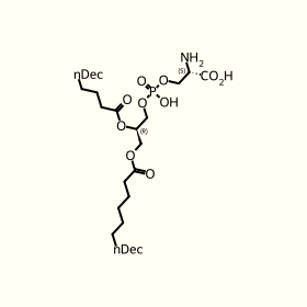 CCCCCCCCCCCCCCCC(=O)OC[C@H](COP(=O)(O)OC[C@H](N)C(=O)O)OC(=O)CCCCCCCCCCCCC